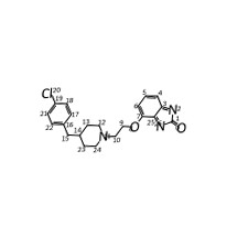 O=C1N=c2cccc(OCCN3CCC(Cc4ccc(Cl)cc4)CC3)c2=N1